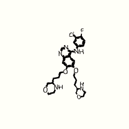 Fc1ccc(Nc2ncnc3cc(OCCCC4COCCN4)c(OCCCC4COCCN4)cc23)cc1Cl